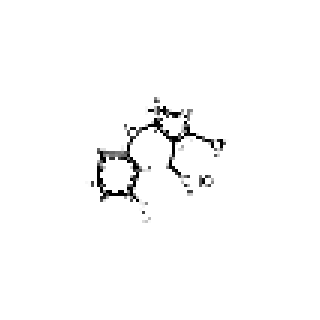 O=CCc1c(C(F)(F)F)n[nH]c1Oc1cccc(Cl)c1